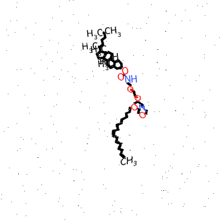 CCCCCCCC/C=C\CCCCCCCCOCC(CN1CCOCC1)OCCOCCNC(=O)OC1CCC2(C)C(=CCC3[C@@H]2CCC2(C)C(C(C)CCCC(C)C)CC[C@@H]32)C1